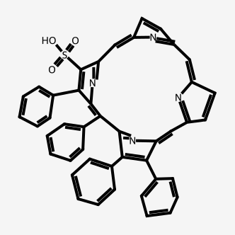 O=S(=O)(O)C1=C(c2ccccc2)C2=C(c3ccccc3)C3=NC(=CC4=NC(=CC5=NC(=CC1=N2)C=C5)C=C4)C(c1ccccc1)=C3c1ccccc1